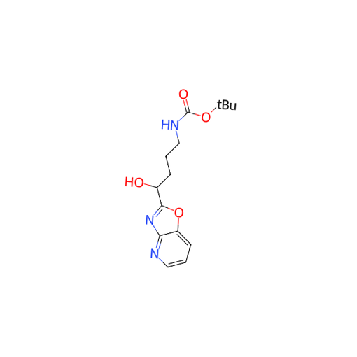 CC(C)(C)OC(=O)NCCCC(O)c1nc2ncccc2o1